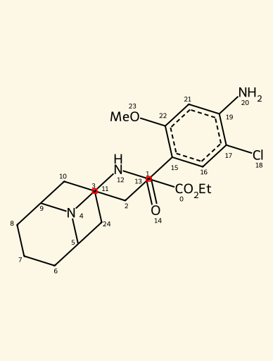 CCOC(=O)CCCN1C2CCCC1CC(NC(=O)c1cc(Cl)c(N)cc1OC)C2